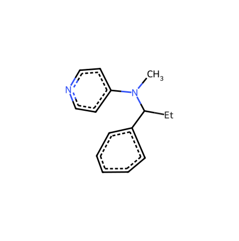 CCC(c1ccccc1)N(C)c1ccncc1